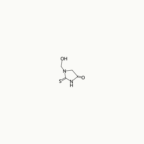 O=C1CN(CO)C(=S)N1